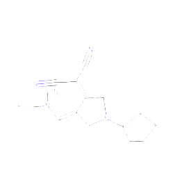 CN(C)/C=C1/CN(C2CCCC2)CC1=C(C#N)C#N